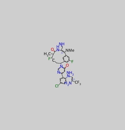 CN/C1=C(\C=N)NC(=O)C(C)C(F)CCC(n2cnc(-c3cc(Cl)ccc3N(N)/C=C(\N)C(F)(F)F)cc2=O)c2cc(F)cc1c2